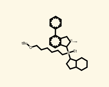 CCS(CCCCCCOC(C)(C)C)(C1CCC2CCCCC21)C1c2cccc(-c3ccccc3)c2C[C@@H]1C